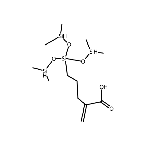 C=C(CCC[Si](O[SiH](C)C)(O[SiH](C)C)O[SiH](C)C)C(=O)O